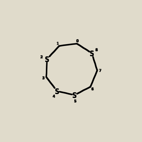 C1CSCSSCCS1